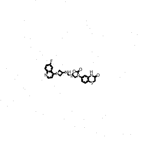 O=C1CSc2ccc(N3C[C@@H](CNC4CN(c5ccnc6ccc(F)cc56)C4)OC3=O)cc2N1